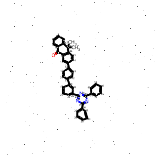 CC1(C)c2ccccc2C(=O)c2cc(-c3ccc(-c4cccc(-c5nc(-c6ccccc6)nc(-c6ccccc6)n5)c4)cc3)ccc21